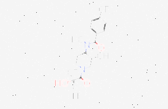 C[C@H]1CN(C(=O)[C@@](C)(O)C(F)(F)F)CC[C@H]1N(C)C(=O)c1ccc(C(F)(F)F)cc1